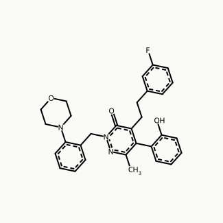 Cc1nn(Cc2ccccc2N2CCOCC2)c(=O)c(CCc2cccc(F)c2)c1-c1ccccc1O